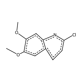 COc1cc2ccc(Cl)nc2cc1OC